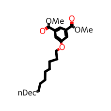 CCCCCCCCCCCCCCCCCCOc1cc(C(=O)OC)cc(C(=O)OC)c1